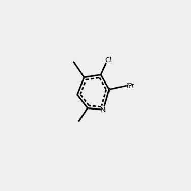 Cc1cc(C)c(Cl)c(C(C)C)n1